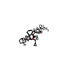 CN(C)S(=O)(=O)NC(=O)c1ccc2nc(N3C4CC[C@H]3C[C@H](OCc3c(-c5c(Cl)cccc5Cl)noc3C3CC3)C4)sc2c1